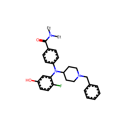 CCN(CC)C(=O)c1ccc(N(c2cc(O)ccc2F)C2CCN(Cc3ccccc3)CC2)cc1